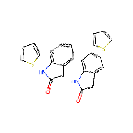 O=C1Cc2ccccc2N1.O=C1Cc2ccccc2N1.c1ccsc1.c1ccsc1